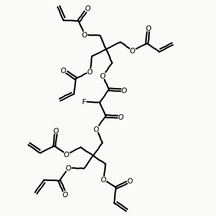 C=CC(=O)OCC(COC(=O)C=C)(COC(=O)C=C)COC(=O)C(F)C(=O)OCC(COC(=O)C=C)(COC(=O)C=C)COC(=O)C=C